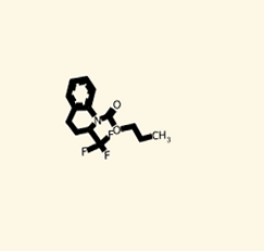 CCCOC(=O)N1c2ccccc2CCC1C(F)(F)F